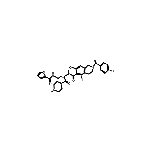 CN1CCN(C(=O)[C@H](CCNC(=O)c2cccs2)NC(=O)c2c(Cl)cc3c(c2Cl)CCN(C(=O)c2ccc(Cl)cc2)C3)CC1